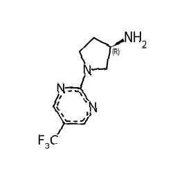 N[C@@H]1CCN(c2ncc(C(F)(F)F)cn2)C1